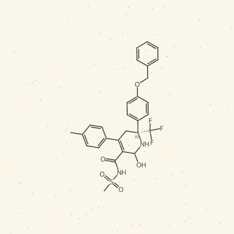 Cc1ccc(C2=C(C(=O)NS(C)(=O)=O)C(O)N[C@@](c3ccc(OCc4ccccc4)cc3)(C(F)(F)F)C2)cc1